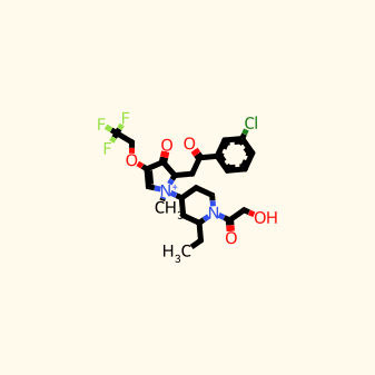 CCC1CC([N+]2(C)C=C(OCC(F)(F)F)C(=O)C2CC(=O)c2cccc(Cl)c2)CCN1C(=O)CO